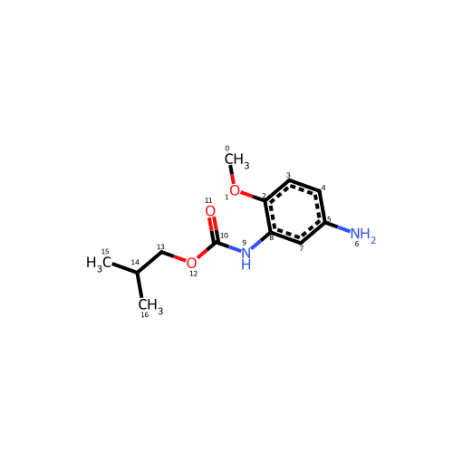 COc1ccc(N)cc1NC(=O)OCC(C)C